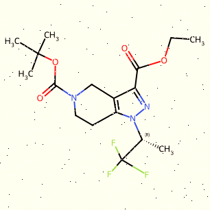 CCOC(=O)c1nn([C@H](C)C(F)(F)F)c2c1CN(C(=O)OC(C)(C)C)CC2